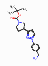 CC(C)(C)OC(=O)N1CCC(c2ccn(-c3ccc(CN)cc3)n2)C1